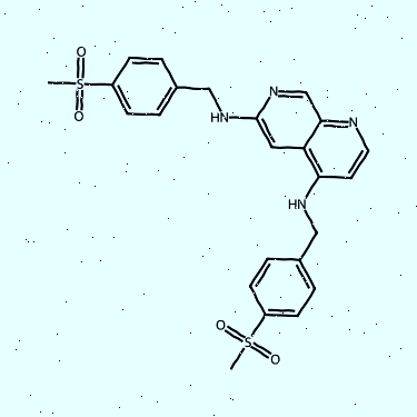 CS(=O)(=O)c1ccc(CNc2cc3c(NCc4ccc(S(C)(=O)=O)cc4)ccnc3cn2)cc1